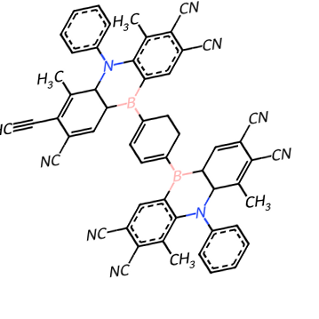 C#CC1=C(C)C2C(C=C1C#N)B(C1=CC=C(B3c4cc(C#N)c(C#N)c(C)c4N(c4ccccc4)C4C(C)=C(C#N)C(C#N)=CC34)CC1)c1cc(C#N)c(C#N)c(C)c1N2c1ccccc1